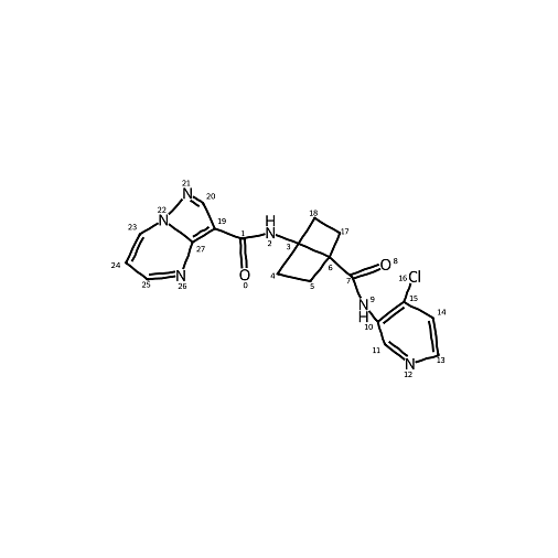 O=C(NC12CCC1(C(=O)Nc1cnccc1Cl)CC2)c1cnn2cccnc12